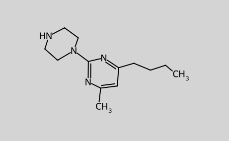 CCCCc1cc(C)nc(N2CCNCC2)n1